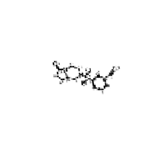 N#Cc1cccc(S(=O)(=O)N2CCN3C(=O)CCC3C2)c1